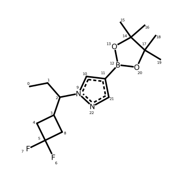 CCC(C1CC(F)(F)C1)n1cc(B2OC(C)(C)C(C)(C)O2)cn1